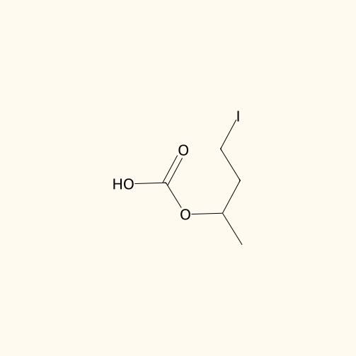 CC(CCI)OC(=O)O